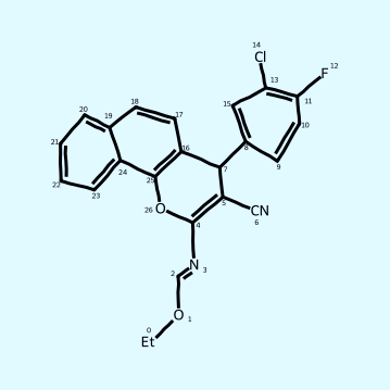 CCOC=NC1=C(C#N)C(c2ccc(F)c(Cl)c2)c2ccc3ccccc3c2O1